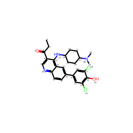 CCC(=O)c1cnc2ccc(-c3cc(Cl)c(O)c(Cl)c3)cc2c1NC1CCC(N(C)C)CC1